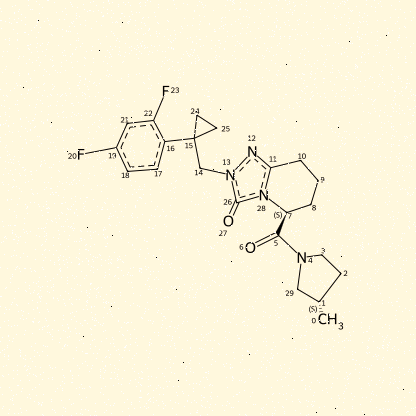 C[C@H]1CCN(C(=O)[C@@H]2CCCc3nn(CC4(c5ccc(F)cc5F)CC4)c(=O)n32)C1